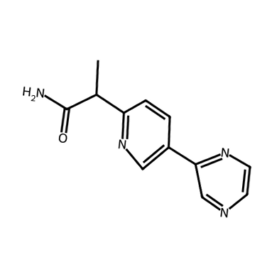 CC(C(N)=O)c1ccc(-c2cnccn2)cn1